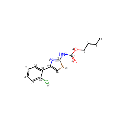 CCCCOC(=O)Nc1nc(-c2ccccc2Cl)cs1